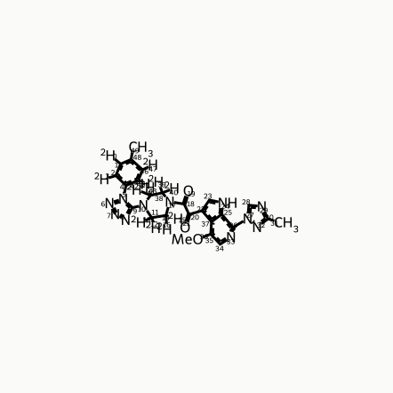 [2H]c1c([2H])c(-n2nnnc2N2C([2H])([2H])C([2H])([2H])N(C(=O)C(=O)c3c[nH]c4c(-n5cnc(C)n5)ncc(OC)c34)C([2H])([2H])C2([2H])[2H])c([2H])c([2H])c1C